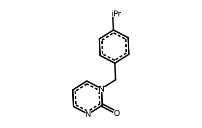 CC(C)c1ccc(Cn2cccnc2=O)cc1